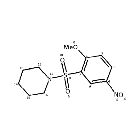 COc1ccc([N+](=O)[O-])cc1S(=O)(=O)N1CCCCC1